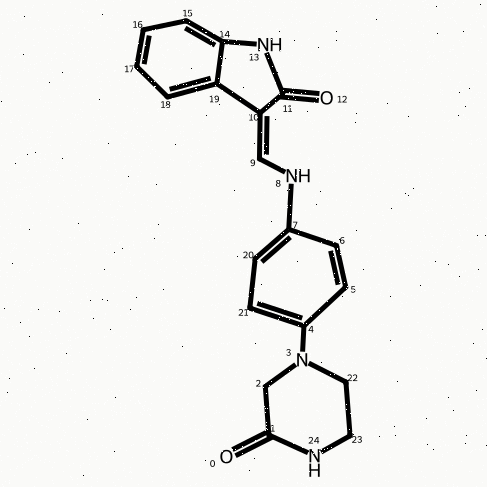 O=C1CN(c2ccc(NC=C3C(=O)Nc4ccccc43)cc2)CCN1